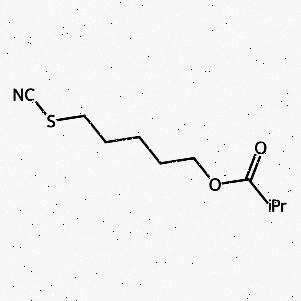 CC(C)C(=O)OCCCCCSC#N